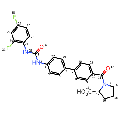 O=C(Nc1ccc(-c2ccc(C(=O)N3CCC[C@@H]3C(=O)O)cc2)cc1)Nc1ccc(F)cc1F